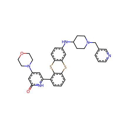 O=c1cc(N2CCOCC2)cc(-c2cccc3c2Sc2ccc(NC4CCN(Cc5cccnc5)CC4)cc2S3)[nH]1